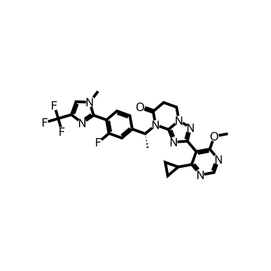 COc1ncnc(C2CC2)c1-c1nc2n(n1)CCC(=O)N2[C@H](C)c1ccc(-c2nc(C(F)(F)F)cn2C)c(F)c1